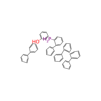 Oc1ccccc1.Pc1ccccc1-c1ccccc1.c1ccc(-c2ccccc2)cc1.c1ccc(-c2ccccc2)cc1.c1ccc(-c2ccccc2)cc1